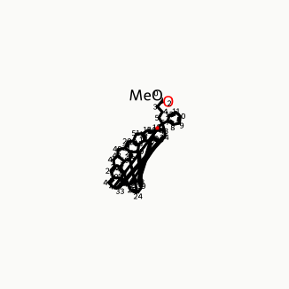 COC(=O)CCCC1(c2ccccc2)C2c3cc4c5c6c(cc7c8c9c%10c%11c%12c%13c(cc%14c%12c%12c%15c(c%16c3c5c(c%10c86)c%16c%12%11)C21CC%15C=%14)CC(C7)C%139)C4